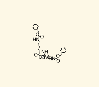 COC(=O)C(CCCCNC(=O)OCc1ccccc1)NC(=O)CCCNC(=O)OCc1ccccc1